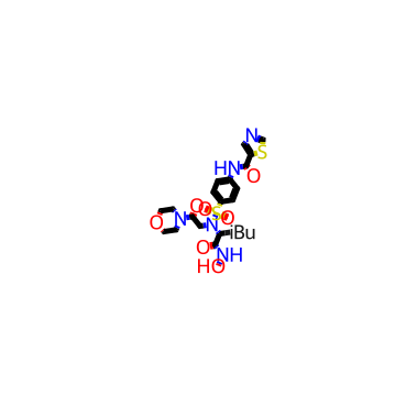 CCC(C)C(C(=O)NO)N(CC(=O)N1CCOCC1)S(=O)(=O)c1ccc(NC(=O)c2cncs2)cc1